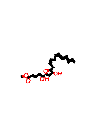 CCCCC/C=C\C/C=C\CC1O[C@@H](C(O)CCCC(=O)OC)C[C@@H]1O